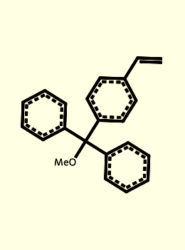 C=Cc1ccc(C(OC)(c2ccccc2)c2ccccc2)cc1